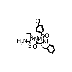 CCN(NC(=O)[C@@H](Cc1ccccc1)NS(=O)(=O)c1ccc(Cl)cc1)C(N)=S